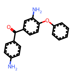 Nc1ccc(C(=O)c2ccc(Oc3ccccc3)c(N)c2)cc1